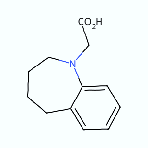 O=C(O)CN1CCCCc2ccccc21